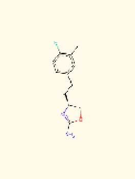 Cc1cc(CC[C@H]2COC(N)=N2)ccc1F